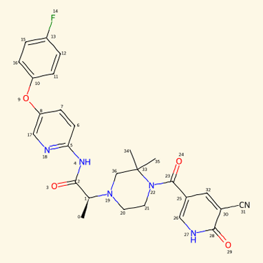 C[C@@H](C(=O)Nc1ccc(Oc2ccc(F)cc2)cn1)N1CCN(C(=O)c2c[nH]c(=O)c(C#N)c2)C(C)(C)C1